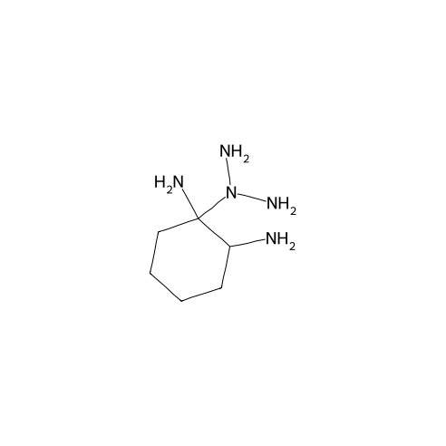 NC1CCCCC1(N)N(N)N